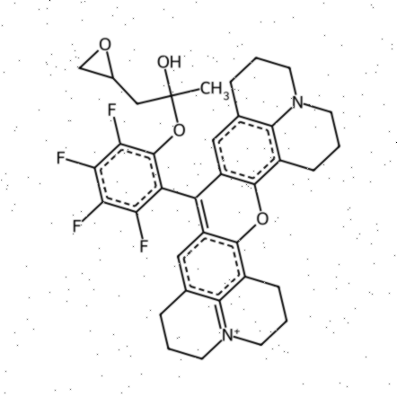 CC(O)(CC1CO1)Oc1c(F)c(F)c(F)c(F)c1C1=c2cc3c4c(c2Oc2c1cc1c5c2CCCN5CCC1)CCC[N+]=4CCC3